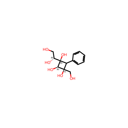 OC[C@@H](O)[C@]1(O)C(c2ccccc2)[C@](O)(CO)[C@H]1O